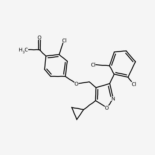 CC(=O)c1ccc(OCc2c(-c3c(Cl)cccc3Cl)noc2C2CC2)cc1Cl